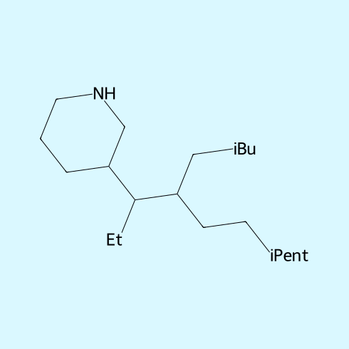 CCCC(C)CCC(CC(C)CC)C(CC)C1CCCNC1